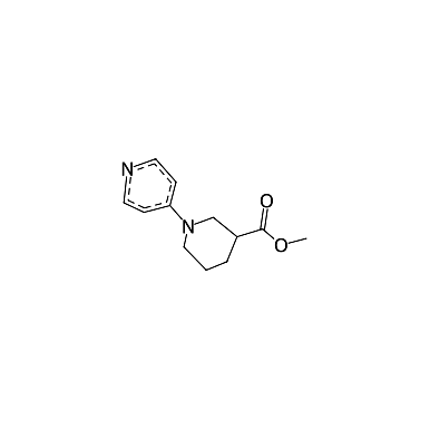 COC(=O)C1CCCN(c2ccncc2)C1